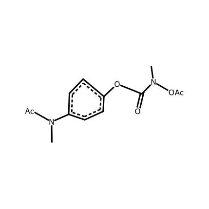 CC(=O)ON(C)C(=O)Oc1ccc(N(C)C(C)=O)cc1